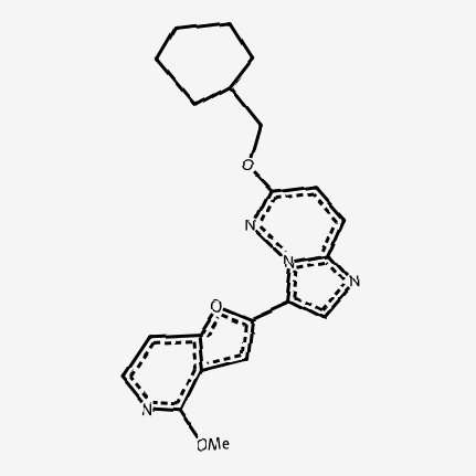 COc1nccc2oc(-c3cnc4ccc(OCC5CCCCC5)nn34)cc12